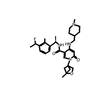 Cc1c(C(C)F)cccc1[C@@H](C)NC(=O)c1cn(C23COC(C)(C2)C3)c(=O)cc1NCC1CCN(C)CC1